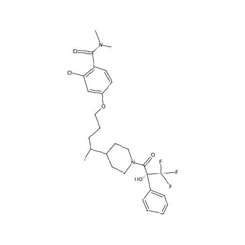 CC(CCCOc1ccc(C(=O)N(C)C)c(Cl)c1)C1CCN(C(=O)[C@](O)(c2ccccc2)C(F)(F)F)CC1